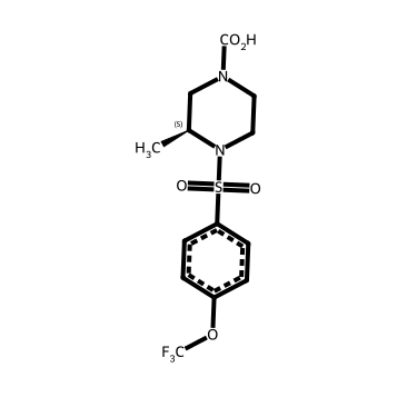 C[C@H]1CN(C(=O)O)CCN1S(=O)(=O)c1ccc(OC(F)(F)F)cc1